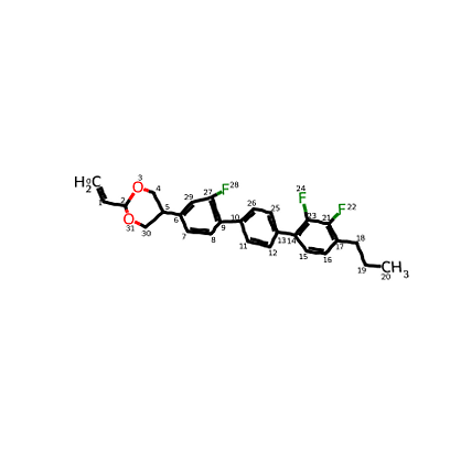 C=CC1OCC(c2ccc(-c3ccc(-c4ccc(CCC)c(F)c4F)cc3)c(F)c2)CO1